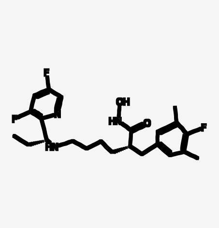 CC[C@@H](NCCCC[C@@H](Cc1cc(C)c(F)c(C)c1)C(=O)NO)c1ncc(F)cc1F